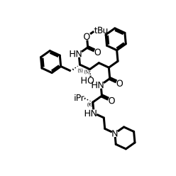 CC(C)[C@@H](NCCN1CCCCC1)C(=O)NC(=O)C(Cc1ccccc1)C[C@H](O)[C@H](Cc1ccccc1)NC(=O)OC(C)(C)C